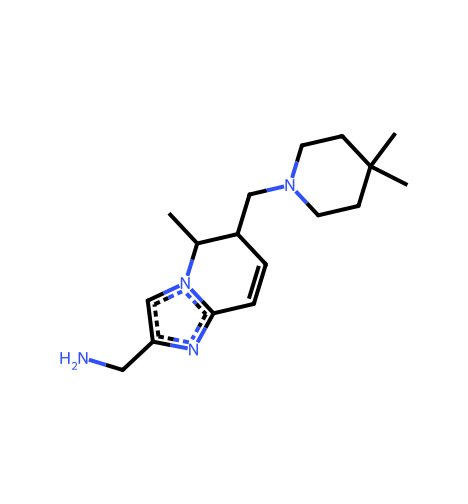 CC1C(CN2CCC(C)(C)CC2)C=Cc2nc(CN)cn21